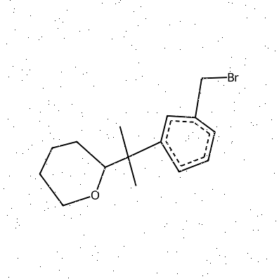 CC(C)(c1cccc(CBr)c1)C1CCCCO1